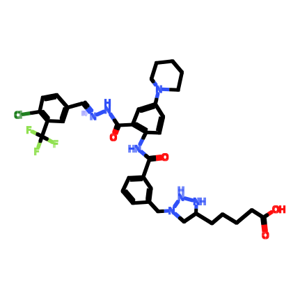 O=C(O)CCCCC1CN(Cc2cccc(C(=O)Nc3ccc(N4CCCCC4)cc3C(=O)N/N=C/c3ccc(Cl)c(C(F)(F)F)c3)c2)NN1